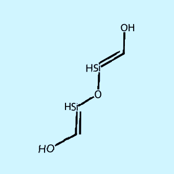 OC=[SiH]O[SiH]=CO